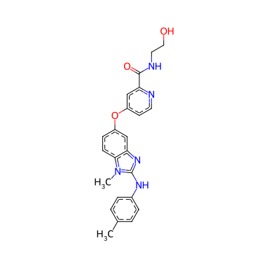 Cc1ccc(Nc2nc3cc(Oc4ccnc(C(=O)NCCO)c4)ccc3n2C)cc1